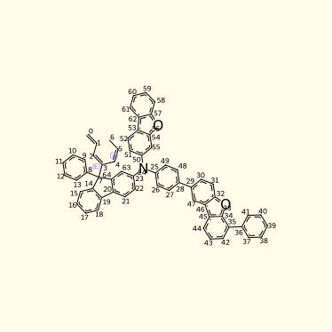 C=C/C=C(\C=C/C)C1(c2ccccc2)c2ccccc2-c2ccc(N(c3ccc(-c4ccc5oc6c(-c7ccccc7)cccc6c5c4)cc3)c3ccc4c(c3)oc3ccccc34)cc21